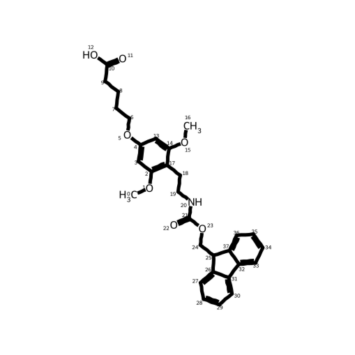 COc1cc(OCCCCC(=O)O)cc(OC)c1CCNC(=O)OCC1c2ccccc2-c2ccccc21